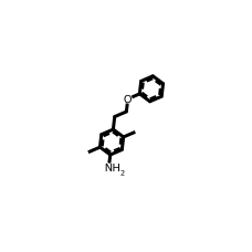 Cc1cc(CCOc2ccccc2)c(C)cc1N